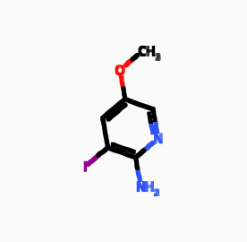 COc1cnc(N)c(I)c1